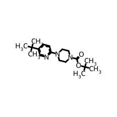 CC(C)(C)OC(=O)N1CCN(c2ccc(C(C)(C)C)cn2)CC1